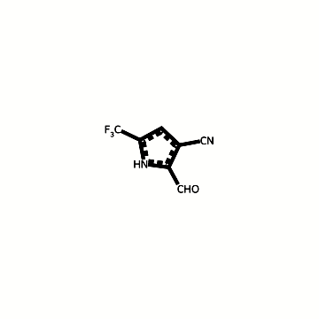 N#Cc1cc(C(F)(F)F)[nH]c1C=O